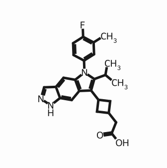 Cc1cc(-n2c(C(C)C)c(C3CC(CC(=O)O)C3)c3cc4[nH]ncc4cc32)ccc1F